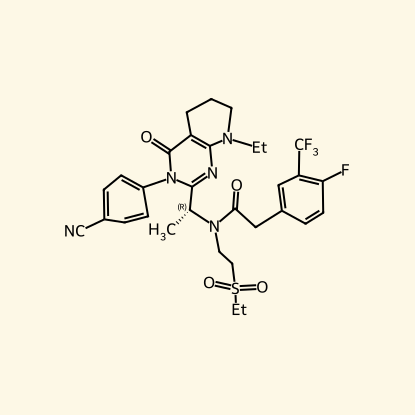 CCN1CCCc2c1nc([C@@H](C)N(CCS(=O)(=O)CC)C(=O)Cc1ccc(F)c(C(F)(F)F)c1)n(-c1ccc(C#N)cc1)c2=O